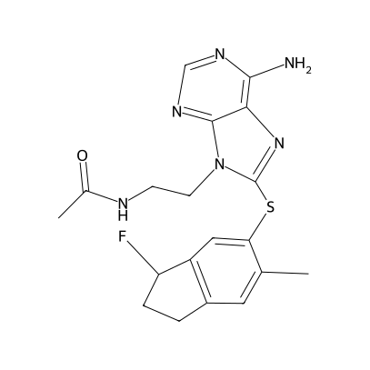 CC(=O)NCCn1c(Sc2cc3c(cc2C)CCC3F)nc2c(N)ncnc21